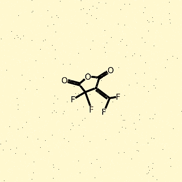 O=C1OC(=O)C(F)(F)C1=C(F)F